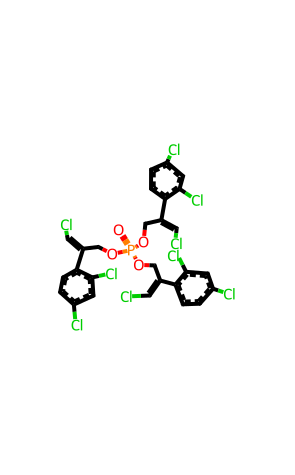 O=P(OC/C(=C\Cl)c1ccc(Cl)cc1Cl)(OC/C(=C\Cl)c1ccc(Cl)cc1Cl)OC/C(=C\Cl)c1ccc(Cl)cc1Cl